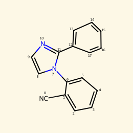 N#Cc1ccccc1-n1ccnc1-c1ccccc1